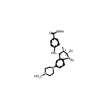 CC[C@H]1[C@H](C)[C@@H](Nc2ccc(C(=O)NC)cc2)c2cc(N3CCN(C(=O)O)CC3)ccc2N1C(C)=O